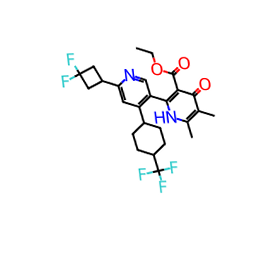 CCOC(=O)c1c(-c2cnc(C3CC(F)(F)C3)cc2C2CCC(C(F)(F)F)CC2)[nH]c(C)c(C)c1=O